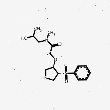 CC(C)CN(C)C(=O)CO[C@@H]1CNC[C@H]1S(=O)(=O)c1ccccc1